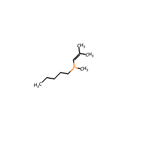 CCCCCP(C)C=C(C)C